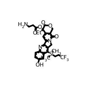 CCC1(OC(=O)CCN)C(=O)OCc2c1cc1n(c2=O)Cc2c-1nc1ccc(O)cc1c2[Si](C)(C)CCC(F)(F)F